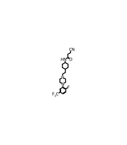 N#CCCC(=O)NC1CCC(CCN2CCN(c3cc(C(F)(F)F)ccc3F)CC2)CC1